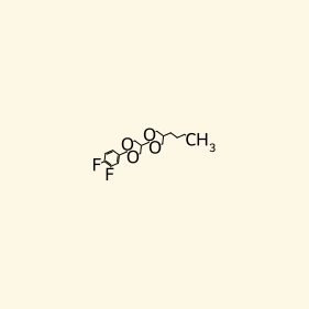 CCCCC1COC(C2COC(c3ccc(F)c(F)c3)OC2)OC1